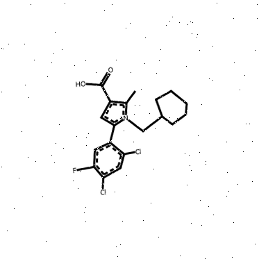 Cc1c(C(=O)O)cc(-c2cc(F)c(Cl)cc2Cl)n1CC1CCCCC1